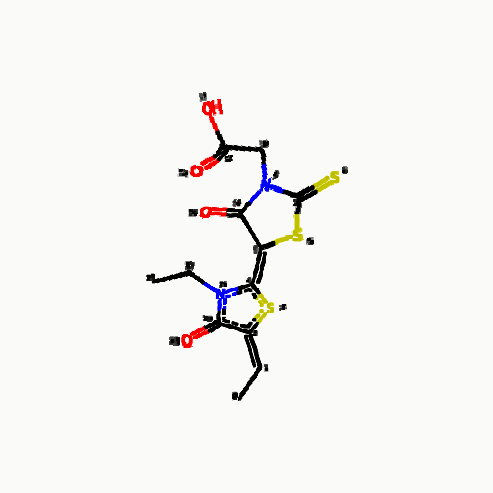 C/C=c1/s/c(=C2\SC(=S)N(CC(=O)O)C2=O)n(CC)c1=O